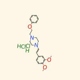 COc1ccc(C=CN2CCN(CCOc3ccccc3)CC2)cc1OC.Cl.Cl